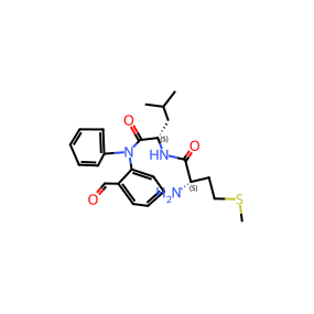 CSCC[C@H](N)C(=O)N[C@@H](CC(C)C)C(=O)N(c1ccccc1)c1ccccc1C=O